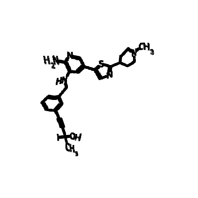 CN1CCC(c2ncc(-c3cnc(N)c(NCc4cccc(C#CC(C)(O)I)c4)c3)s2)CC1